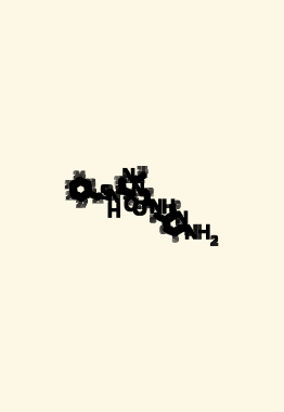 Cc1nc(N)ccc1CNC(=O)Cn1c(C)ncc(NSCc2ccccc2)c1=O